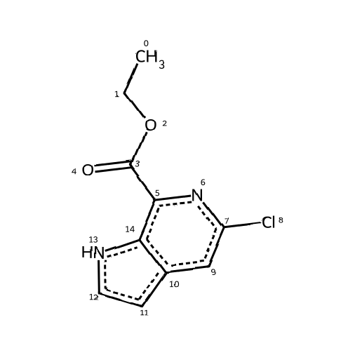 CCOC(=O)c1nc(Cl)cc2cc[nH]c12